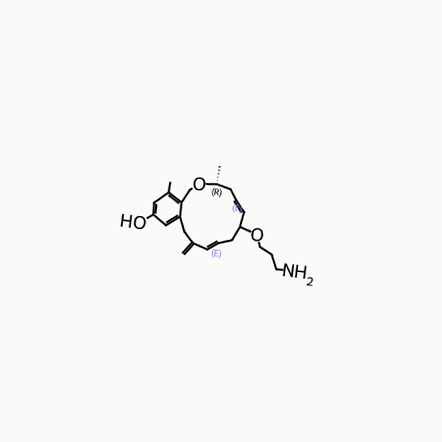 C=C1/C=C/CC(OCCCN)/C=C/C[C@@H](C)OCc2c(C)cc(O)cc2C1